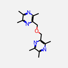 Cc1nc(C)c(COCc2nc(C)c(C)nc2C)nc1C